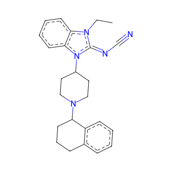 CCn1/c(=N\C#N)n(C2CCN(C3CCCc4ccccc43)CC2)c2ccccc21